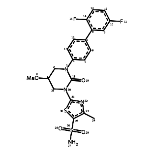 COC1CN(c2ccc(-c3cc(F)ccc3F)cc2)C(=O)N(c2nc(C)c(S(N)(=O)=O)s2)C1